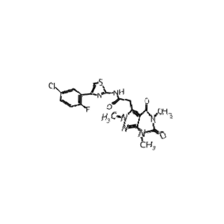 Cn1nc2c(c1CC(=O)Nc1nc(-c3cc(Cl)ccc3F)cs1)c(=O)n(C)c(=O)n2C